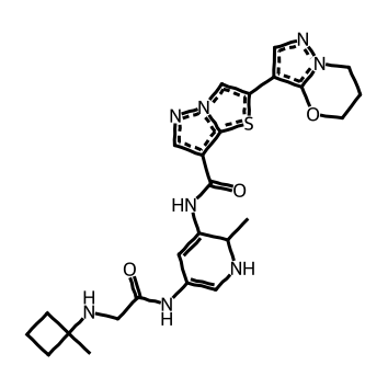 CC1NC=C(NC(=O)CNC2(C)CCC2)C=C1NC(=O)c1cnn2cc(-c3cnn4c3OCCC4)sc12